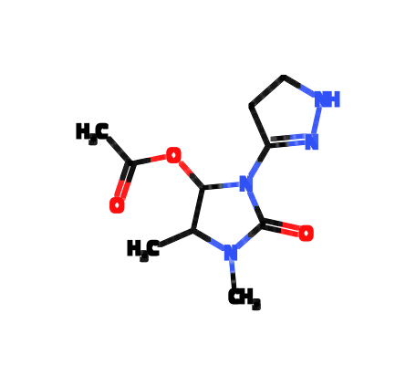 CC(=O)OC1C(C)N(C)C(=O)N1C1=NNCC1